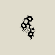 Cc1ccc2c(c1)ncn2C/C=C1/c2ccccc2COc2ccc(C(=O)O)cc21